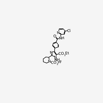 CCOC(=O)c1c(-c2ccc(C(=O)Nc3cc(Cl)ccn3)cc2)nc(C2CCCCN2C(=O)O)n1N